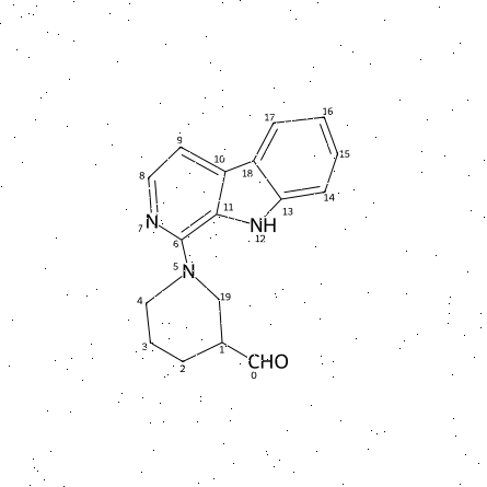 O=CC1CCCN(c2nccc3c2[nH]c2ccccc23)C1